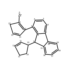 [Zr][C]1=C(c2cccc3c2C(C2C=CCC2)c2ccccc2-3)C=CC1